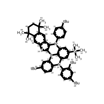 CC(C)(C)c1ccc(N2c3cc([Si](C)(C)C)cc4c3B(c3cc(C(C)(C)C)ccc3N4c3ccc(C(C)(C)C)cc3C(C)(C)C)c3sc4cc5c(cc4c32)C(C)(C)CCC5(C)C)cc1